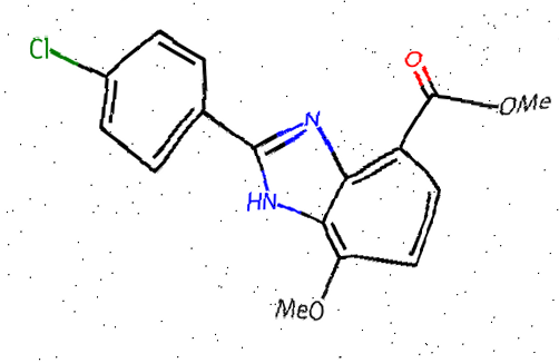 COC(=O)c1ccc(OC)c2[nH]c(-c3ccc(Cl)cc3)nc12